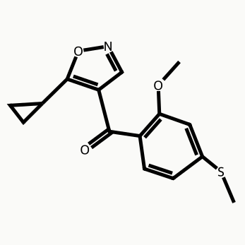 COc1cc(SC)ccc1C(=O)c1cnoc1C1CC1